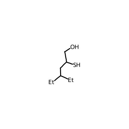 CCC(CC)CC(S)CO